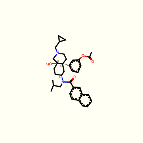 CC(=O)Oc1cccc([C@@]23CCN(CC4CC4)C[C@@]2(O)CC[C@H](N(CC(C)C)C(=O)c2ccc4ccccc4c2)C3)c1